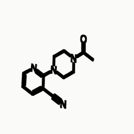 CC(=O)N1CCN(c2ncccc2C#N)CC1